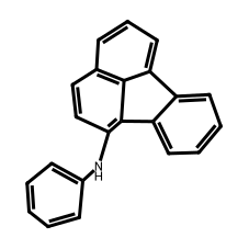 c1ccc(Nc2ccc3cccc4c3c2-c2ccccc2-4)cc1